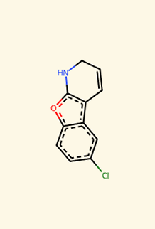 Clc1ccc2oc3c(c2c1)C=CCN3